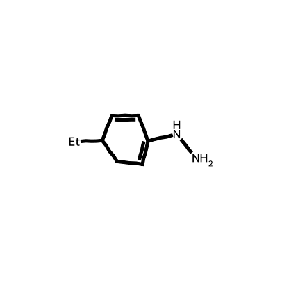 CCC1C=CC(NN)=CC1